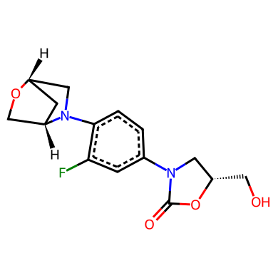 O=C1O[C@@H](CO)CN1c1ccc(N2C[C@@H]3C[C@H]2CO3)c(F)c1